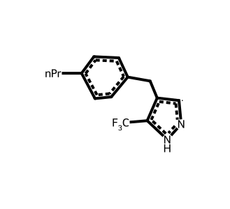 CCCc1ccc(Cc2[c]n[nH]c2C(F)(F)F)cc1